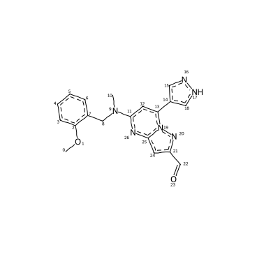 COc1ccccc1CN(C)c1cc(-c2cn[nH]c2)n2nc(C=O)cc2n1